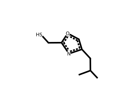 CC(C)Cc1coc(CS)n1